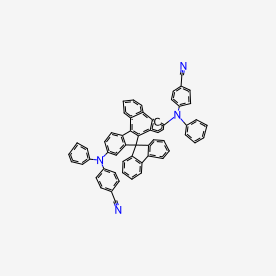 N#Cc1ccc(N(c2ccccc2)c2ccc3c(c2)C2(c4ccccc4-c4ccccc42)c2c-3c3ccccc3c3cc(N(c4ccccc4)c4ccc(C#N)cc4)ccc23)cc1